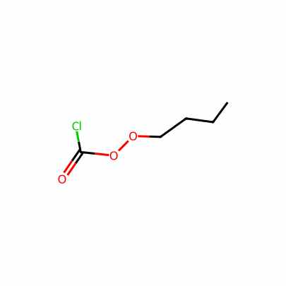 CCCCOOC(=O)Cl